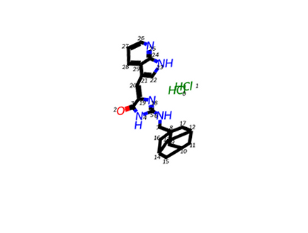 Cl.Cl.O=C1NC(NCC23CC4CC(CC(C4)C2)C3)=N/C1=C\c1c[nH]c2ncccc12